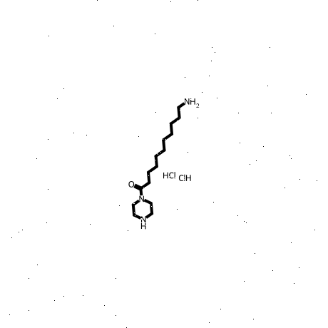 Cl.Cl.NCCCCCCCCCCC(=O)N1CCNCC1